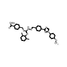 COC(=O)c1ccc(CS/C(=N\c2c(C)cccc2C)N/N=C/c2ccc(-c3ncn(-c4ccc(OC(F)(F)F)cc4)n3)cc2)cc1